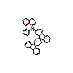 c1ccc(-c2ccccc2N(c2ccccc2)c2ccc3c(c2)C2(CCC4(CC2)c2ccccc2-c2ccccc24)c2ccccc2-3)cc1